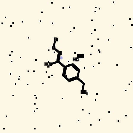 CCO/N=C(\N)c1ccc(CN)cc1.Cl.Cl